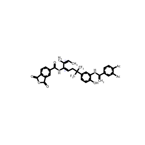 C=C(Nc1cc(C(C/C=C(NC(=O)c2ccc3c(c2)C(=O)OC3=O)\C(C)=C/C)(C(F)(F)F)C(F)(F)F)ccc1O)c1ccc(C(C)=O)c(C(C)=O)c1